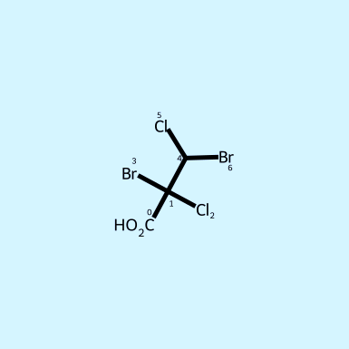 O=C(O)C(Cl)(Br)C(Cl)Br